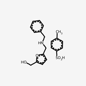 Cc1ccc(S(=O)(=O)O)cc1.OCc1ccc(CNCc2ccccc2)o1